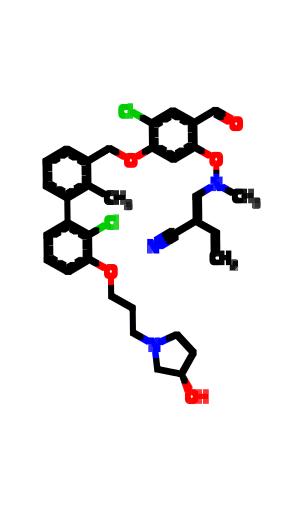 C=C/C(C#N)=C\N(C)Oc1cc(OCc2cccc(-c3cccc(OCCCN4CC[C@@H](O)C4)c3Cl)c2C)c(Cl)cc1C=O